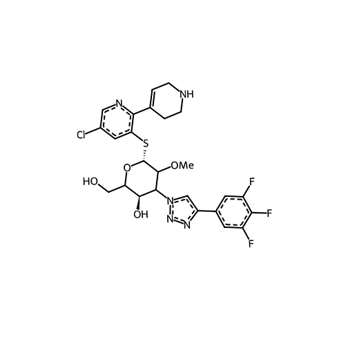 COC1C(n2cc(-c3cc(F)c(F)c(F)c3)nn2)[C@@H](O)C(CO)O[C@@H]1Sc1cc(Cl)cnc1C1=CCNCC1